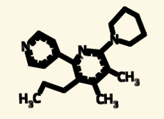 CCCc1c(-c2ccncc2)nc(N2CCCCC2)c(C)c1C